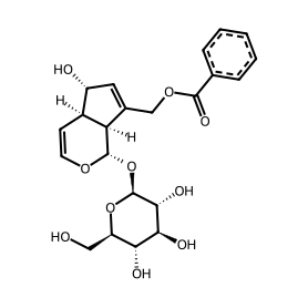 O=C(OCC1=C[C@@H](O)[C@@H]2C=CO[C@@H](O[C@@H]3O[C@H](CO)[C@@H](O)[C@H](O)[C@H]3O)[C@H]12)c1ccccc1